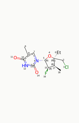 CC[C@@]1(CCl)O[C@@H](n2cc(C)c(=O)[nH]c2=O)[C@H](F)[C@@H]1C